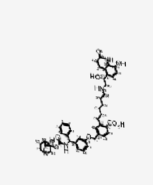 O=C(NC(c1ccccc1)c1cccc(OCc2ccc(C(=O)O)c(CCCCCCNC[C@H](O)c3ccc(O)c4[nH]c(=O)ccc34)c2)c1)O[C@H]1CN2CCC1CC2